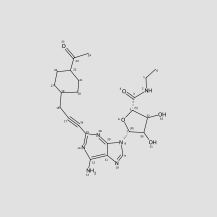 CCNC(=O)[C@H]1O[C@@H](n2cnc3c(N)nc(C#CCC4CCC(C(C)=O)CC4)nc32)C(O)C1O